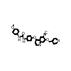 [C-]#[N+]c1cc2c(Oc3ccc(NC(=O)Nc4ccc(OC)cc4)cc3)ccnc2cc1OCc1ccncc1